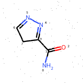 NC(=O)C1=NN=CC1